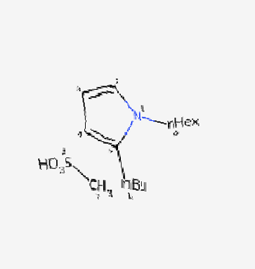 CCCCCCn1cccc1CCCC.CS(=O)(=O)O